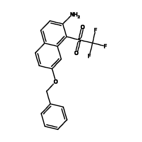 Nc1ccc2ccc(OCc3ccccc3)cc2c1S(=O)(=O)C(F)(F)F